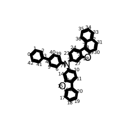 c1ccc(-c2ccc(N(c3ccc4c(c3)oc3ccccc34)c3ccc4c(c3)oc3ccc5ccccc5c34)cc2)cc1